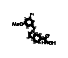 COc1cc(F)cc(Cn2ccc3ccc(C(=O)NO)cc32)c1